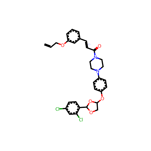 C=CCOc1cccc(/C=C/C(=O)N2CCN(c3ccc(OC4COC(c5ccc(Cl)cc5Cl)O4)cc3)CC2)c1